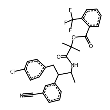 CC(NC(=O)C(C)(C)OC(=O)c1ccccc1C(F)(F)F)C(Cc1ccc(Cl)cc1)c1cccc(C#N)c1